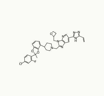 C=Cc1nnc(-c2cnc3c(c2)nc(CN2CCC(c4cccc5c4OC(C)(c4ccc(Cl)cc4F)O5)CC2)n3CC2CCO2)[nH]1